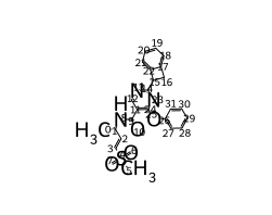 C[C@@H](/C=C/S(C)(=O)=O)NC(=O)c1cnc(C2Cc3ccccc32)nc1Oc1ccccc1